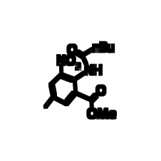 CCCCC(=O)Nc1c(C(=O)OC)cc(C)cc1[N+](=O)[O-]